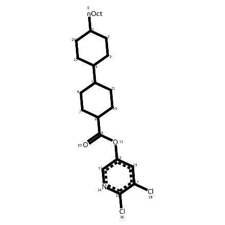 CCCCCCCCC1CCC(C2CCC(C(=O)Oc3cnc(Cl)c(Cl)c3)CC2)CC1